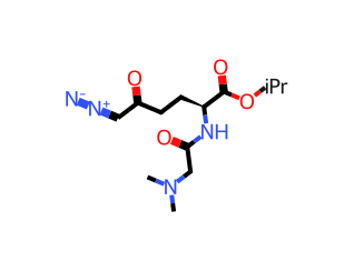 CC(C)OC(=O)[C@H](CCC(=O)C=[N+]=[N-])NC(=O)CN(C)C